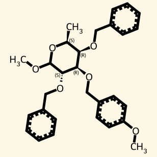 COc1ccc(CO[C@@H]2[C@H](OCc3ccccc3)[C@H](C)OC(OC)[C@H]2OCc2ccccc2)cc1